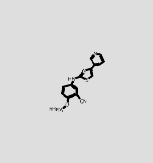 CCCCCCCOc1ccc(Nc2nc(-c3cccnc3)cs2)cc1C#N